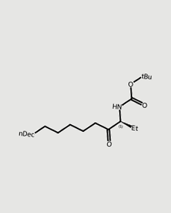 CCCCCCCCCCCCCCCC(=O)[C@H](CC)NC(=O)OC(C)(C)C